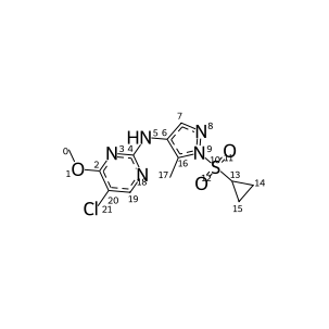 COc1nc(Nc2cnn(S(=O)(=O)C3CC3)c2C)ncc1Cl